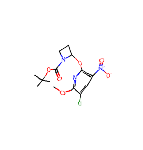 COc1nc(OC2CCN2C(=O)OC(C)(C)C)c([N+](=O)[O-])cc1Cl